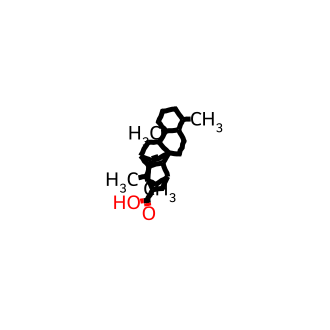 CC(C)C1=CC23CCC4C(C)CCCC4(C)C2CC1C1C2CC(CC2C(=O)O)C13